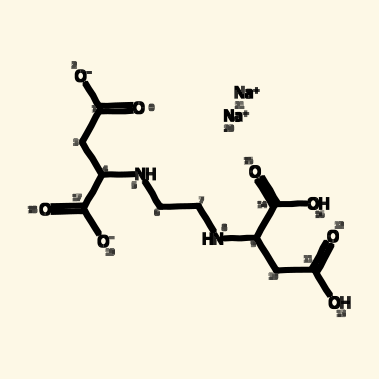 O=C([O-])CC(NCCNC(CC(=O)O)C(=O)O)C(=O)[O-].[Na+].[Na+]